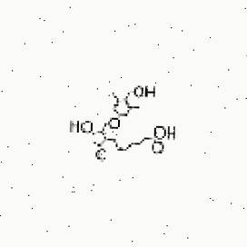 Cc1cc(OC[C@H]2[C@@H](C/C=C\CCCC(=O)O)[C@H](Cl)C[C@H]2O)cc(C)c1CO